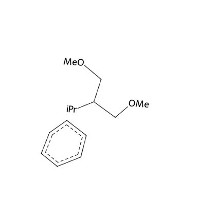 COCC(COC)C(C)C.c1ccccc1